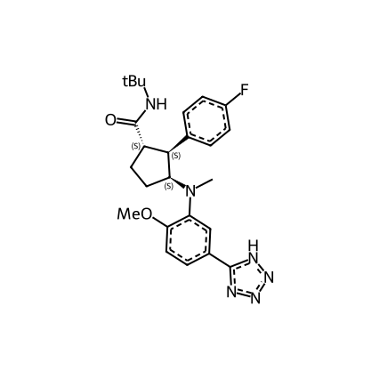 COc1ccc(-c2nnn[nH]2)cc1N(C)[C@H]1CC[C@H](C(=O)NC(C)(C)C)[C@H]1c1ccc(F)cc1